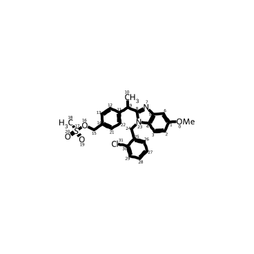 COc1ccc2c(c1)nc(C(C)c1ccc(COS(C)(=O)=O)cc1)n2Cc1ccccc1Cl